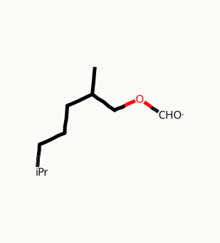 CC(C)CCCC(C)CO[C]=O